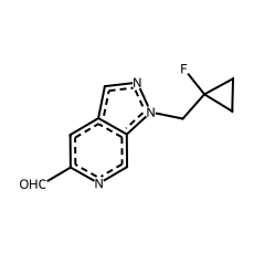 O=Cc1cc2cnn(CC3(F)CC3)c2cn1